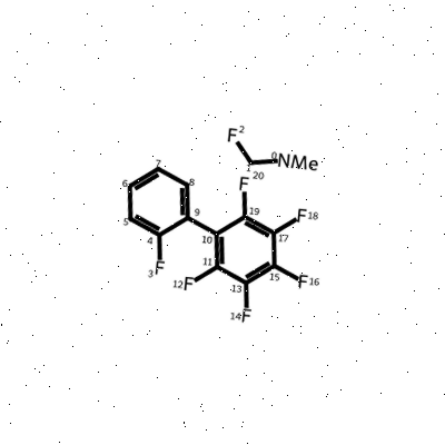 CNCF.Fc1ccccc1-c1c(F)c(F)c(F)c(F)c1F